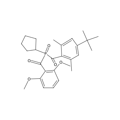 COc1cccc(OC)c1C(=O)P(=O)(C(=O)c1c(C)cc(C(C)(C)C)cc1C)C1CCCC1